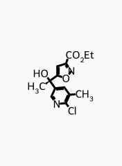 CCOC(=O)c1cc([C@@](C)(O)c2cnc(Cl)c(C)c2)on1